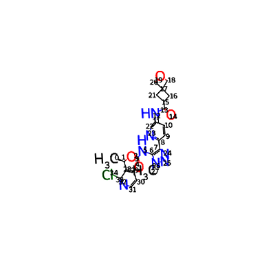 C[C@@H](OC(=O)Nc1c(-c2ccc(NC(=O)C3CC4(COC4)C3)cn2)nnn1C)c1cccnc1Cl